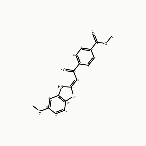 COC(=O)c1ccc(C(=O)/C=C2\Nc3cc(OC)ccc3S2)cc1